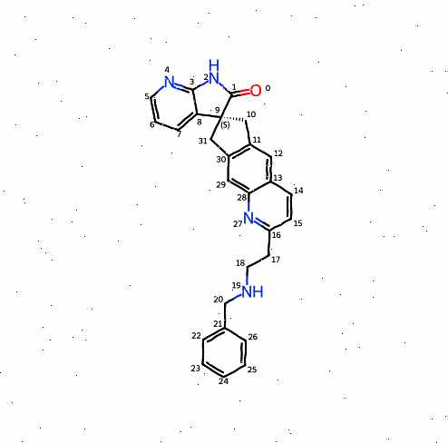 O=C1Nc2ncccc2[C@@]12Cc1cc3ccc(CCNCc4ccccc4)nc3cc1C2